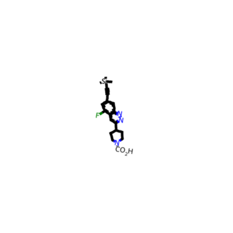 C[Si](C)(C)C#Cc1cc(F)c2cc(C3CCN(C(=O)O)CC3)nnc2c1